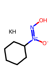 [KH].[O-]/[N+](=N\O)C1CCCCC1